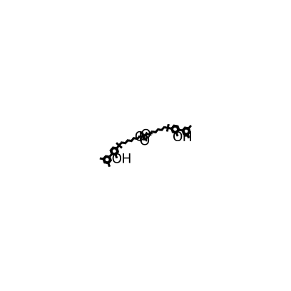 Cc1cc(C)cc(-c2ccc(C(C)(C)CCCCCCO[N+](=O)OCCCCCCC(C)(C)c3ccc(-c4cc(C)cc(C)c4)c(O)c3)cc2O)c1